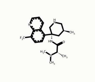 C[C@@H]1CNC[C@](NC(=O)[C@H](C)N(C)C)(c2ccc(C(F)(F)F)c3ncccc23)C1